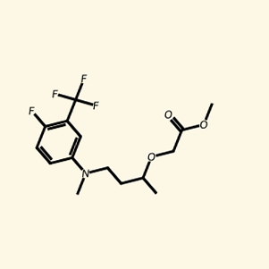 COC(=O)COC(C)CCN(C)c1ccc(F)c(C(F)(F)F)c1